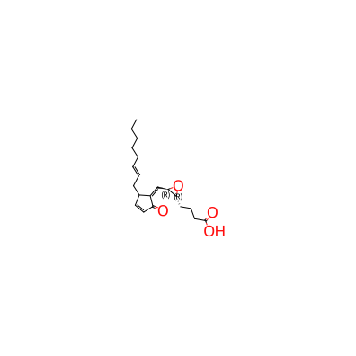 CCCCCC=CCC1C=CC(=O)C1=C[C@H]1O[C@@H]1CCCC(=O)O